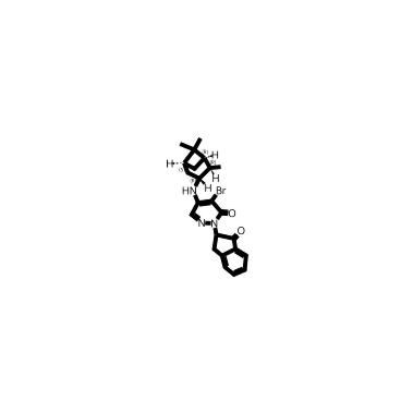 C[C@@H]1[C@H]2C[C@@H](C[C@H]1Nc1cnn(C3Cc4ccccc4C3=O)c(=O)c1Br)C2(C)C